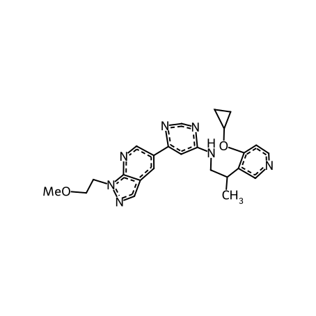 COCCn1ncc2cc(-c3cc(NCC(C)c4cnccc4OC4CC4)ncn3)cnc21